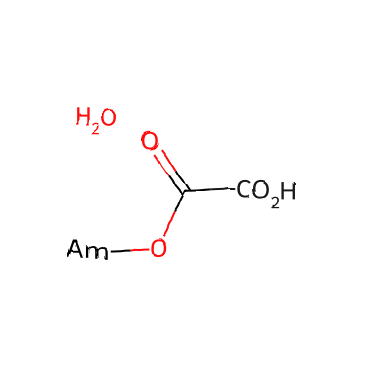 O.O=C(O)C(=O)[O][Am]